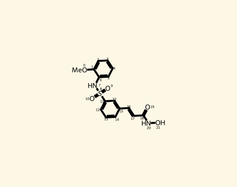 COc1ccccc1NS(=O)(=O)c1cccc(C=CC(=O)NO)c1